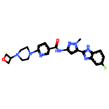 Cn1nc(NC(=O)c2ccc(N3CCN(C4COC4)CC3)nc2)cc1-c1nc2cc(F)ccc2[nH]1